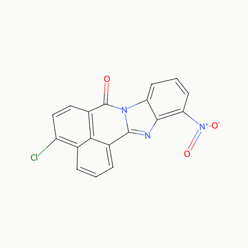 O=c1c2ccc(Cl)c3cccc(c32)c2nc3c([N+](=O)[O-])cccc3n12